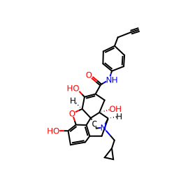 C#CCc1ccc(NC(=O)C2=C(O)[C@@H]3Oc4c(O)ccc5c4[C@@]34CCN(CC3CC3)[C@H](C5)[C@]4(O)C2)cc1